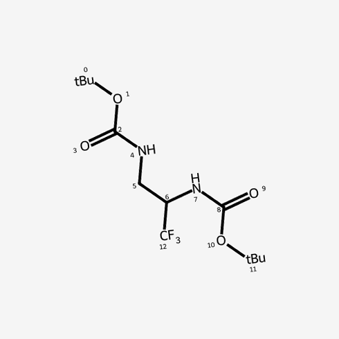 CC(C)(C)OC(=O)NCC(NC(=O)OC(C)(C)C)C(F)(F)F